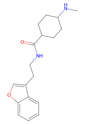 CNC1CCC(C(=O)NCCc2coc3ccccc23)CC1